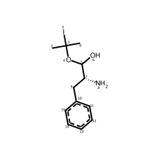 CC(C)(I)OC(O)[C@H](N)Cc1ccccc1